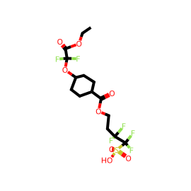 CCOC(=O)C(F)(F)OC1CCC(C(=O)OCCC(F)(F)C(F)(F)S(=O)(=O)O)CC1